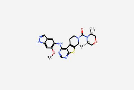 COc1cc2[nH]ncc2cc1Nc1ncnc2sc3c(c12)CCN(C(=O)N1[C@@H](C)COC[C@@H]1C)C3